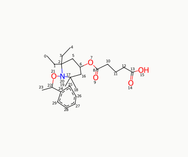 CCC1(CC)CC(OC(=O)CCCC(=O)O)CC(C)(C)N1OC(C)c1ccccc1